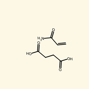 C=CC(N)=O.O=C(O)CCC(=O)O